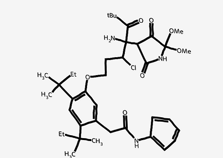 CCC(C)(C)c1cc(C(C)(C)CC)c(OCCC(Cl)C(N)(C(=O)C(C)(C)C)C2C(=O)NC(OC)(OC)C2=O)cc1CC(=O)Nc1ccccc1